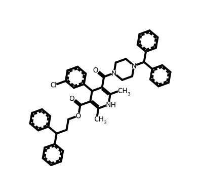 CC1=C(C(=O)OCCC(c2ccccc2)c2ccccc2)C(c2cccc(Cl)c2)C(C(=O)N2CCN(C(c3ccccc3)c3ccccc3)CC2)=C(C)N1